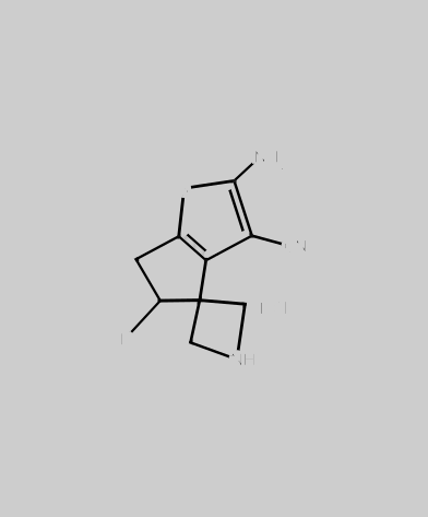 Cl.N#Cc1c(N)sc2c1C1(CNC1)C(F)C2